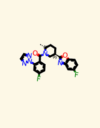 C[C@@H]1CC[C@@H](c2nc3cc(F)ccc3o2)CN1C(=O)c1ccc(F)cc1-n1nccn1